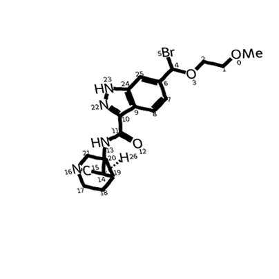 COCCOC(Br)c1ccc2c(C(=O)N[C@@H]3CN4CCC3CC4)n[nH]c2c1